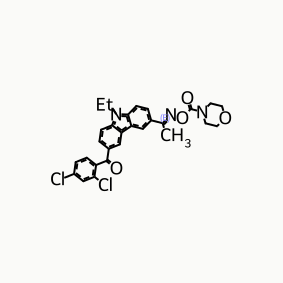 CCn1c2ccc(C(=O)c3ccc(Cl)cc3Cl)cc2c2cc(/C(C)=N/OC(=O)N3CCOCC3)ccc21